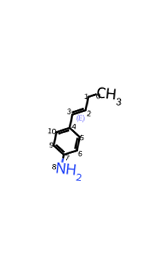 CC/C=C/c1ccc(N)cc1